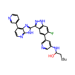 CC(C)(C)CC(O)Nc1cncc(-c2cc3c(-c4nc5c(-c6cccnc6)ccnc5[nH]4)n[nH]c3cc2F)c1